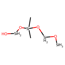 C[Si](C)(O[SiH2]O)O[SiH2]O[SiH3]